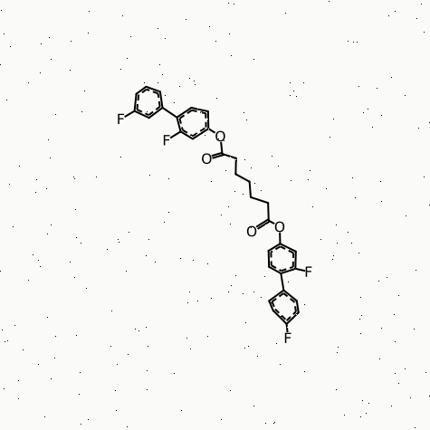 O=C(CCCCCC(=O)Oc1ccc(-c2cccc(F)c2)c(F)c1)Oc1ccc(-c2ccc(F)cc2)c(F)c1